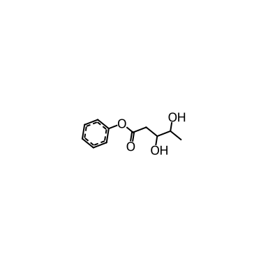 CC(O)C(O)CC(=O)Oc1ccccc1